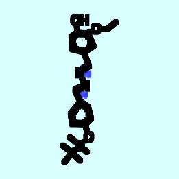 CCOc1cc(/C=N/N=C/c2ccc(O[Si](C)(C)C(C)(C)C)cc2)ccc1O